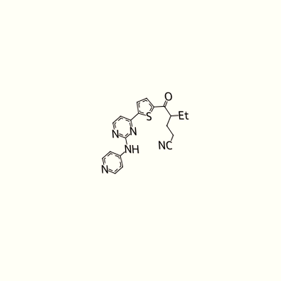 CCC(CCC#N)C(=O)c1ccc(-c2ccnc(Nc3ccncc3)n2)s1